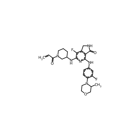 C=CC(=O)N1CCCC(Nc2nc(Nc3ccc(N4CCOCC4C)c(F)c3)c3c(c2F)CNC3=O)C1